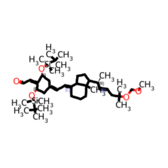 COCOC(C)(C)C/C=C/[C@@H](C)C1CCC2/C(=C/C=C3C[C@@H](O[Si](C)(C)C(C)(C)C)C(=CC=O)[C@H](O[Si](C)(C)C(C)(C)C)C3)CCCC21C